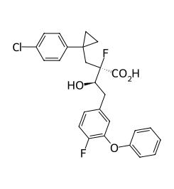 O=C(O)[C@@](F)(CC1(c2ccc(Cl)cc2)CC1)[C@H](O)Cc1ccc(F)c(Oc2ccccc2)c1